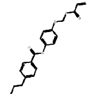 C=CC(=O)OCOc1ccc(OC(=O)c2ccc(CCC)cc2)cc1